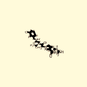 CC(C)N(CC(=O)NCc1cccc(Cl)c1F)C(=O)Cn1cc2nc(NC(=O)O)[nH]c(=O)c2n1